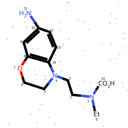 CCN(CCN1CCOc2cc(N)ccc21)C(=O)O